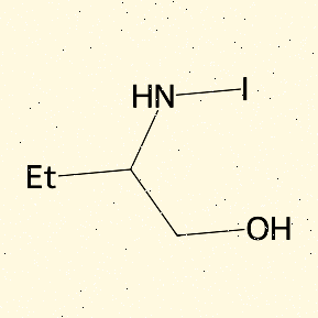 CCC(CO)NI